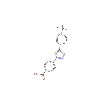 CC(C)(C)C1=CCC(c2cnc(-c3ccc(C(=O)O)cc3)o2)C=C1